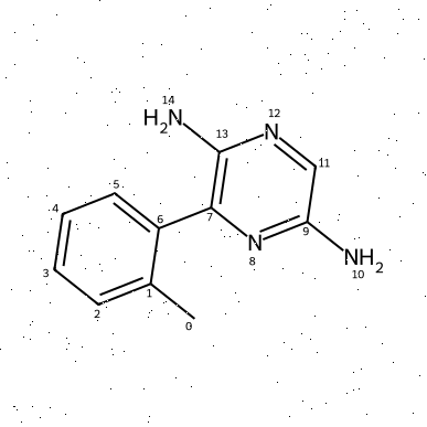 Cc1ccccc1-c1nc(N)cnc1N